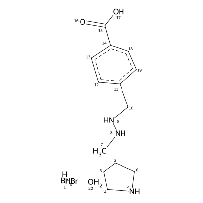 Br.Br.C1CCNC1.CNNCc1ccc(C(=O)O)cc1.O